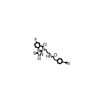 N#Cc1ccc(CC(=O)NCCCn2c(=O)c3cc(F)ccc3n3c(=S)[nH]nc23)cc1